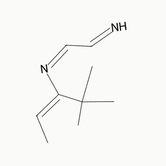 C/C=C(/N=C\C=N)C(C)(C)C